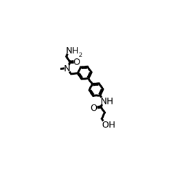 CN(Cc1cccc(-c2ccc(NC(=O)CCO)cc2)c1)C(=O)CN